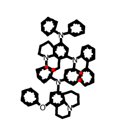 c1ccc(Oc2cc(N(c3ccccc3)c3cccc(N(c4ccccc4-c4ccccc4)c4cc(N(c5ccccc5)c5ccccc5)c5c6c4CCCN6CCC5)c3)c3c4c2CCCN4CCC3)cc1